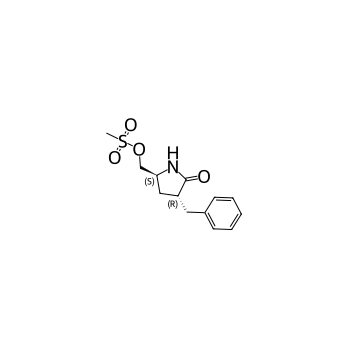 CS(=O)(=O)OC[C@@H]1C[C@@H](Cc2ccccc2)C(=O)N1